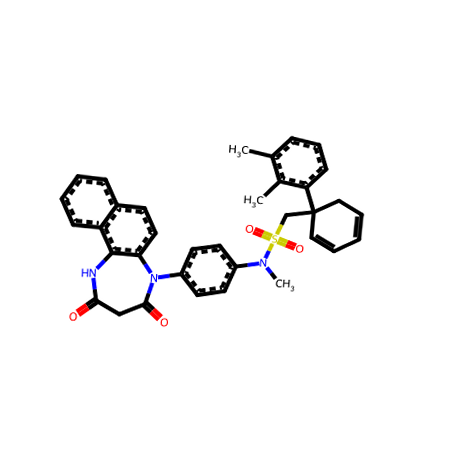 Cc1cccc(C2(CS(=O)(=O)N(C)c3ccc(N4C(=O)CC(=O)Nc5c4ccc4ccccc54)cc3)C=CC=CC2)c1C